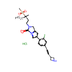 CC(CCN1Cc2cc(-c3ccc(C#CC4CNC4)cc3F)cn2C1=O)(C(=O)O)S(C)(=O)=O.Cl